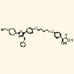 CCCN1CCC(c2nc(-c3ccc(OCCCCCOc4ccc(C(=N)NO)cc4)cc3)c(CC3CCCC3)s2)CC1